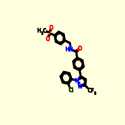 CS(=O)(=O)c1ccc(CNC(=O)c2ccc(-c3cc(C(F)(F)F)nn3-c3ccccc3Cl)cc2)cc1